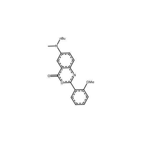 CCCCN(C)c1ccc2nc(-c3ccccc3OC)oc(=O)c2c1